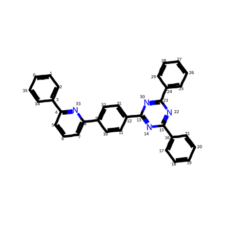 c1ccc(-c2cccc(-c3ccc(-c4nc(-c5ccccc5)nc(-c5ccccc5)n4)cc3)n2)cc1